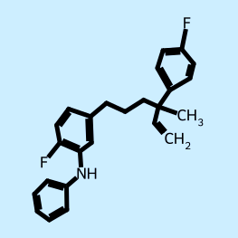 C=CC(C)(CCCc1ccc(F)c(Nc2ccccc2)c1)c1ccc(F)cc1